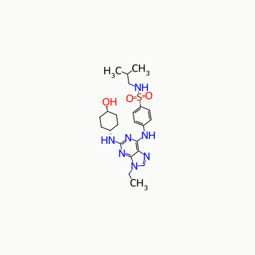 CCn1cnc2c(Nc3ccc(S(=O)(=O)NCC(C)C)cc3)nc(N[C@H]3CC[C@H](O)CC3)nc21